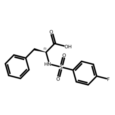 O=C(O)[C@H](Cc1ccccc1)NS(=O)(=O)c1ccc(F)cc1